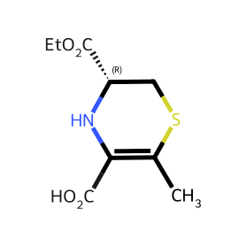 CCOC(=O)[C@@H]1CSC(C)=C(C(=O)O)N1